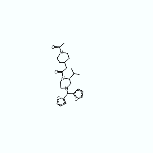 CC(=O)N1CCC(CC(=O)N2CCN(C(c3cccs3)c3cccs3)C[C@@H]2C(C)C)CC1